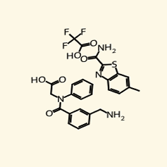 Cc1ccc2nc(C(N)=O)sc2c1.NCc1cccc(C(=O)N(CC(=O)O)c2ccccc2)c1.O=C(O)C(F)(F)F